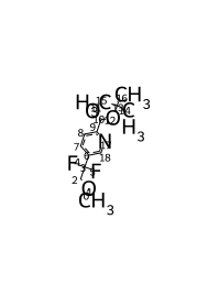 COCC(F)(F)c1ccc(C(=O)OC(C)(C)C)nc1